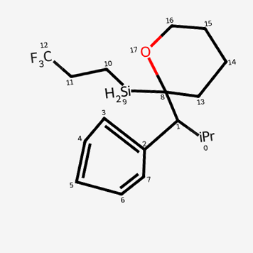 CC(C)C(c1ccccc1)C1([SiH2]CCC(F)(F)F)CCCCO1